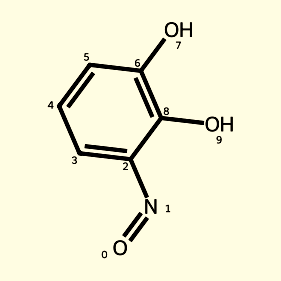 O=Nc1cccc(O)c1O